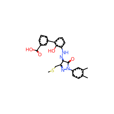 CSCC1=NN(c2ccc(C)c(C)c2)C(=O)/C1=N\Nc1cccc(-c2cccc(C(=O)O)c2)c1O